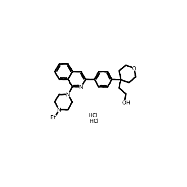 CCN1CCN(c2nc(-c3ccc(C4(CCO)CCOCC4)cc3)cc3ccccc23)CC1.Cl.Cl